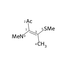 CN/C(C(C)=O)=C(\C)SC